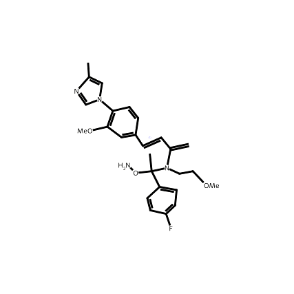 C=C(/C=C/c1ccc(-n2cnc(C)c2)c(OC)c1)N(CCOC)C(C)(ON)c1ccc(F)cc1